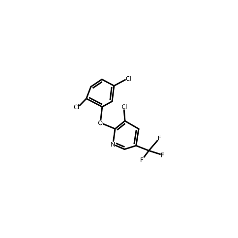 FC(F)(F)c1cnc(Oc2cc(Cl)ccc2Cl)c(Cl)c1